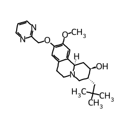 COc1cc2c(cc1OCc1ncccn1)CCN1C[C@@H](CC(C)(C)C)[C@H](O)C[C@H]21